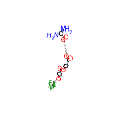 Nc1cc(N)cc(C(=O)OCCCCCCCOC(=O)/C=C/c2ccc(OC(=O)c3ccc(OCCCC(F)(F)C(F)(F)F)cc3)cc2)c1